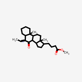 C/C=C1/C(=O)C2C3CCC(CCCC(=O)OC)C3(C)CCC2C2(C)CCCCC12